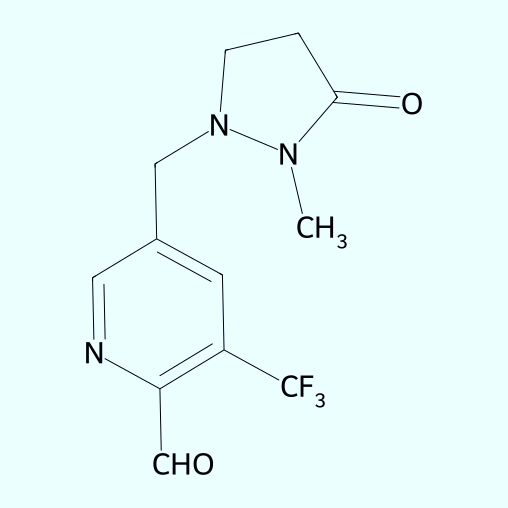 CN1C(=O)CCN1Cc1cnc(C=O)c(C(F)(F)F)c1